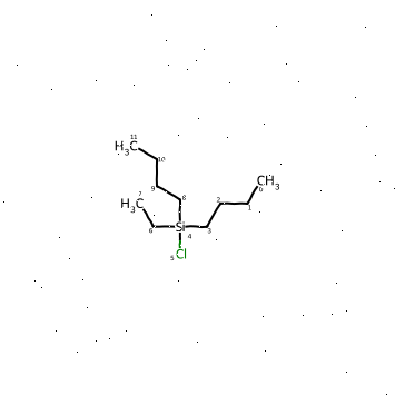 CCCC[Si](Cl)(CC)CCCC